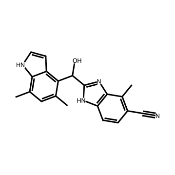 Cc1cc(C)c2[nH]ccc2c1C(O)c1nc2c(C)c(C#N)ccc2[nH]1